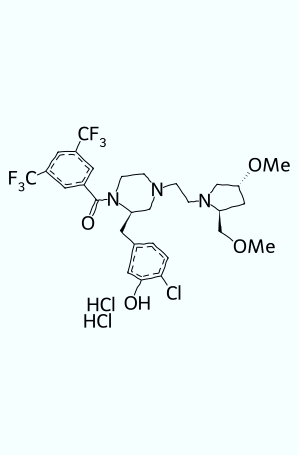 COC[C@@H]1C[C@@H](OC)CN1CCN1CCN(C(=O)c2cc(C(F)(F)F)cc(C(F)(F)F)c2)[C@H](Cc2ccc(Cl)c(O)c2)C1.Cl.Cl